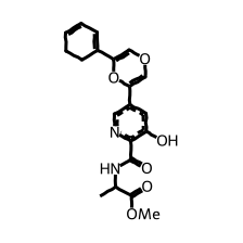 COC(=O)C(C)NC(=O)c1ncc(C2=COC=C(C3=CC=CCC3)O2)cc1O